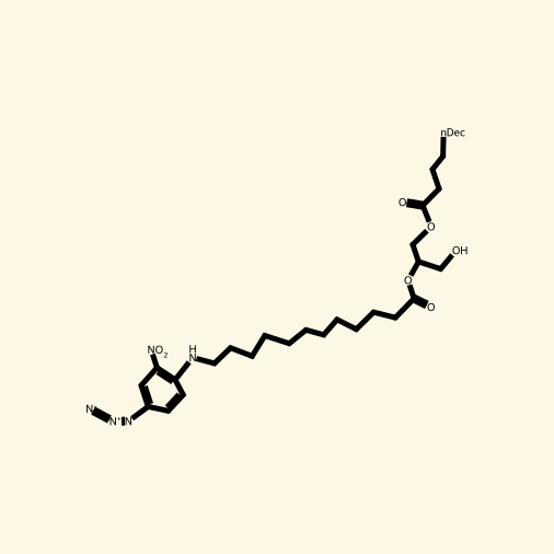 CCCCCCCCCCCCCC(=O)OCC(CO)OC(=O)CCCCCCCCCCCNc1ccc(N=[N+]=[N-])cc1[N+](=O)[O-]